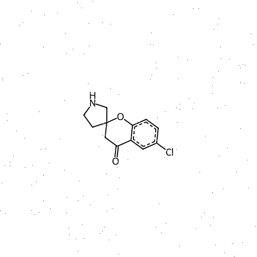 O=C1CC2(CCNC2)Oc2ccc(Cl)cc21